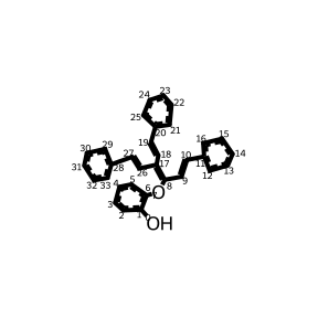 Oc1ccccc1OC(C=Cc1ccccc1)=C(C=Cc1ccccc1)C=Cc1ccccc1